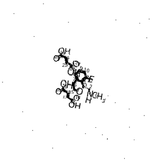 CNC[C@@H]1OCCc2cccc(F)c21.O=C(O)/C=C/C(=O)O.O=C(O)/C=C/C(=O)O